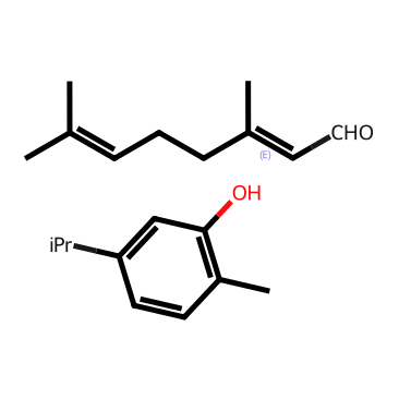 CC(C)=CCC/C(C)=C/C=O.Cc1ccc(C(C)C)cc1O